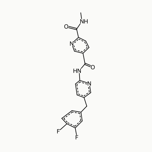 CNC(=O)c1ccc(C(=O)Nc2ccc(Cc3ccc(F)c(F)c3)cn2)cn1